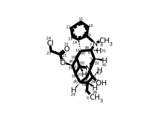 CC[C@@H]1[C@@H]2C[C@H]3[C@@H]4N(C)c5ccccc5[C@]45C[C@@H](C2[C@H]5OC(=O)CCl)N3[C@H]1O